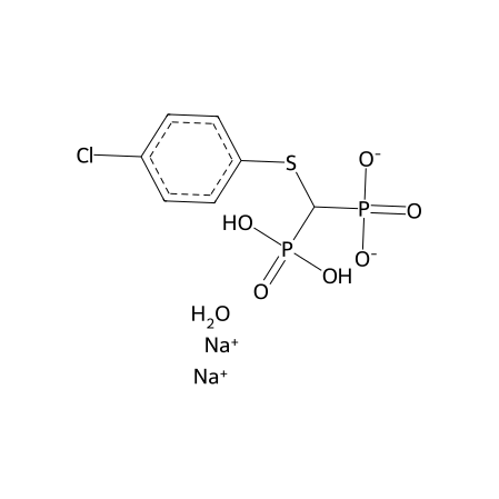 O.O=P([O-])([O-])C(Sc1ccc(Cl)cc1)P(=O)(O)O.[Na+].[Na+]